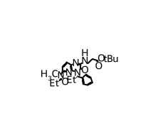 CCC(=O)N(C)c1ccc2nc(NCCC(=O)OC(C)(C)C)c(=O)n([C@@H](CC)c3ccccc3)c2n1